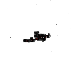 C#CCOCCNC(=O)CCCCCCO[C@]1(C(=O)O)C[C@H](O)[C@@H](NC(=O)CO)[C@H]([C@H](O)[C@H](O)CNC(=O)Cc2ccc(C(F)F)cc2)O1